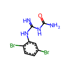 N=C(NC(N)=O)Nc1cc(Br)ccc1Br